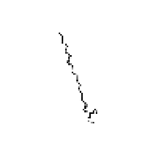 CCCCCC=CCCCCCCC=CC=CC(=O)OC